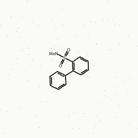 CNS(=O)(=O)c1[c]cccc1-c1ccccc1